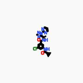 C[C@@H](NC(=O)c1cc(Cl)cc(NC(=O)C2CC2)c1)c1ncnn1-c1ncccn1